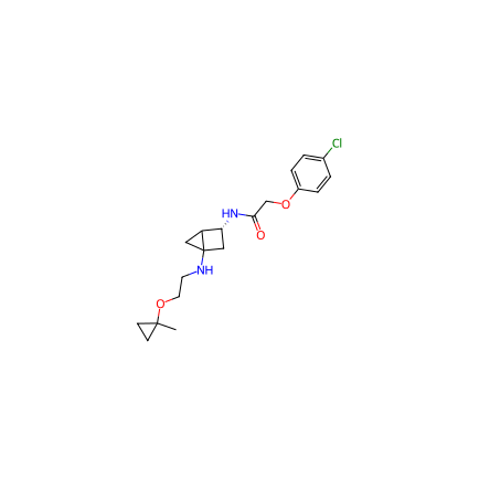 CC1(OCCNC23CC2[C@H](NC(=O)COc2ccc(Cl)cc2)C3)CC1